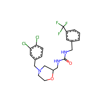 O=C(NCc1cccc(C(F)(F)F)c1)NCC1CN(Cc2ccc(Cl)c(Cl)c2)CCO1